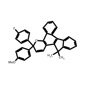 COc1ccc(C2(c3ccc(F)cc3)C=Cc3c4c(c5ccccc5c3O2)-c2ccccc2C4(C)C)cc1